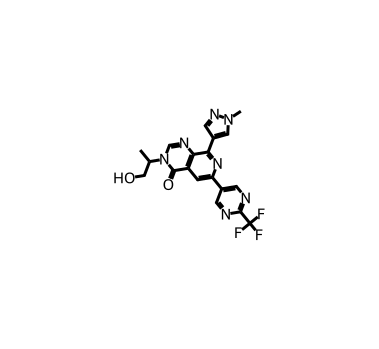 CC(CO)n1cnc2c(-c3cnn(C)c3)nc(-c3cnc(C(F)(F)F)nc3)cc2c1=O